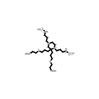 CCCCCCCCCCCCSCCCC1(CCCSCCCCCCCCCCCC)CN(CCCNC(=O)O)CCN1CCCNC(=O)O